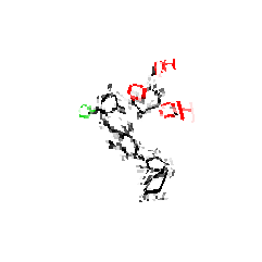 OC[C@@H]1C[C@H](O)C[C@H](c2ccc(Cl)c(Cc3ccc(C4CCC5(CCCC5)C4)cc3)c2)O1